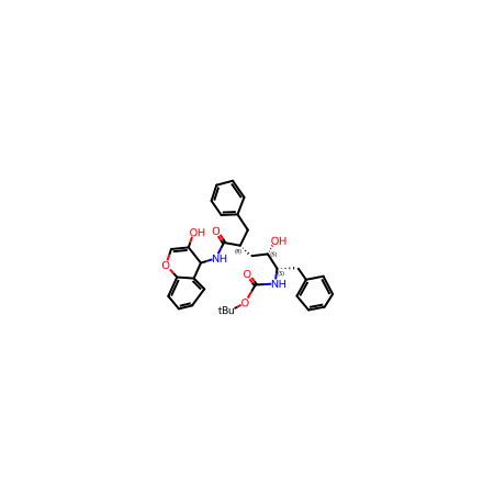 CC(C)(C)OC(=O)N[C@@H](Cc1ccccc1)[C@@H](O)C[C@@H](Cc1ccccc1)C(=O)NC1C(O)=COc2ccccc21